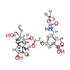 C=C[C@]1(C)C[C@@H](OC(=O)COc2cc(CNC(=O)OC(C)(C)C)c3c(c2)B(O)OC3)[C@]2(C)[C@H](C)CC[C@]3(C[C@H](O)C(=O)[C@H]32)C[C@@H]1O